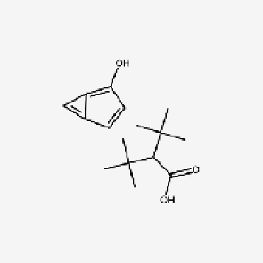 CC(C)(C)C(C(=O)O)C(C)(C)C.Oc1ccc2cc1-2